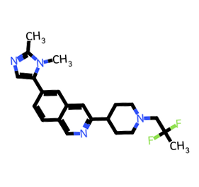 Cc1ncc(-c2ccc3cnc(C4CCN(CC(C)(F)F)CC4)cc3c2)n1C